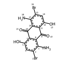 Nc1c(Br)cc(O)c2c1C(=O)c1c(O)cc(Br)c(N)c1C2=O